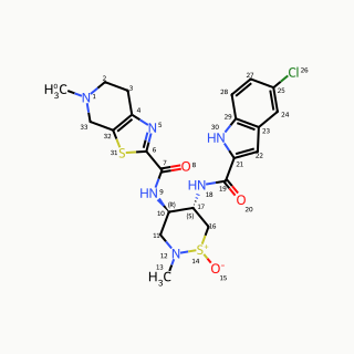 CN1CCc2nc(C(=O)N[C@@H]3CN(C)[S+]([O-])C[C@H]3NC(=O)c3cc4cc(Cl)ccc4[nH]3)sc2C1